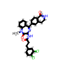 CN1C(=O)C(NC(=O)CCc2ccc(Cl)c(Cl)c2)N=C(c2ccc3c(c2)CCNC3=O)c2ccccc21